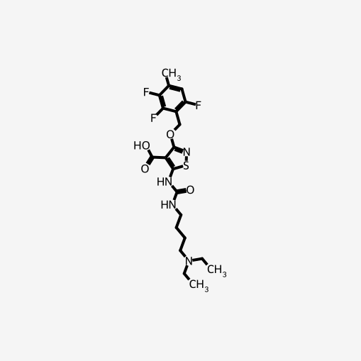 CCN(CC)CCCCNC(=O)Nc1snc(OCc2c(F)cc(C)c(F)c2F)c1C(=O)O